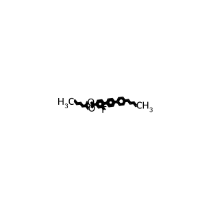 CCCCCC1CCC(c2ccc(-c3ccc(C4OCC(CCCCC)CO4)cc3F)cc2)CC1